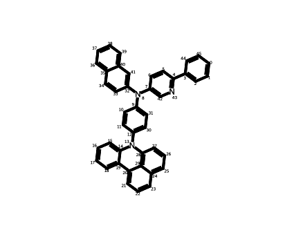 c1ccc(-c2ccc(N(c3ccc(N4c5ccccc5-c5cccc6cccc4c56)cc3)c3ccc4ccccc4c3)cn2)cc1